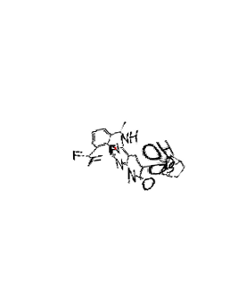 C[C@@H](Nc1ncnc2c1cc(C1(O)CC3CCC(C1)S3(=O)=O)c(=O)n2C)c1cccc(C(F)F)c1F